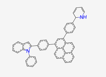 C1=CNC(c2ccc(-c3cc(-c4ccc(-c5cc6ccccc6n5-c5ccccc5)cc4)c4ccc5cccc6ccc3c4c56)cc2)C=C1